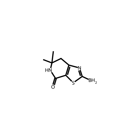 Bc1nc2c(s1)C(=O)NC(C)(C)C2